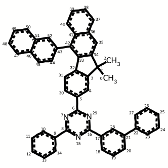 CC1(C)c2cc(-c3nc(-c4ccccc4)nc(-c4cccc(-c5ccccc5)c4)n3)ccc2-c2c1cc1ccccc1c2-c1ccc2ccccc2c1